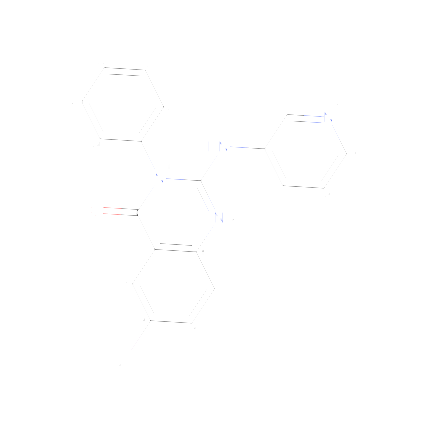 O=c1c2cc(I)ccc2nc(Nc2cccnc2)n1-c1ccccc1